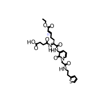 CCOC(=O)/C=C/CC[C@H](NC(=O)CCC(=O)O)C(=O)Nc1cccn(CC(=O)NCCc2cccs2)c1=O